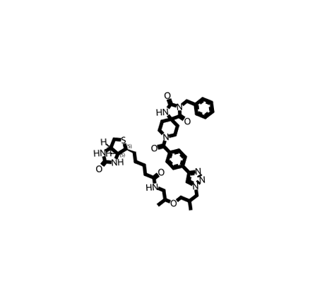 CC(COC(C)CNC(=O)CCCC[C@@H]1SC[C@@H]2NC(=O)N[C@@H]21)Cn1cc(-c2ccc(C(=O)N3CCC4(CC3)NC(=O)N(Cc3ccccc3)C4=O)cc2)nn1